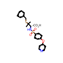 CC(C)(SCc1ccccc1)[C@@H](NS(=O)(=O)c1ccc(Oc2ccncc2)cc1)C(=O)O